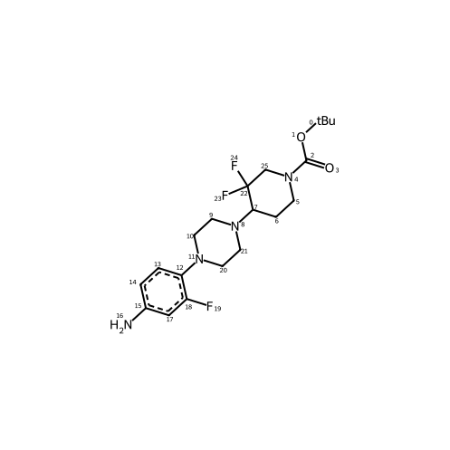 CC(C)(C)OC(=O)N1CCC(N2CCN(c3ccc(N)cc3F)CC2)C(F)(F)C1